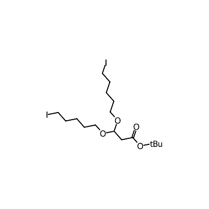 CC(C)(C)OC(=O)CC(OCCCCCI)OCCCCCI